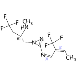 C/C=C(\C=N/C1=NN1C[C@H](CC(F)(F)F)NC)C(F)(F)F